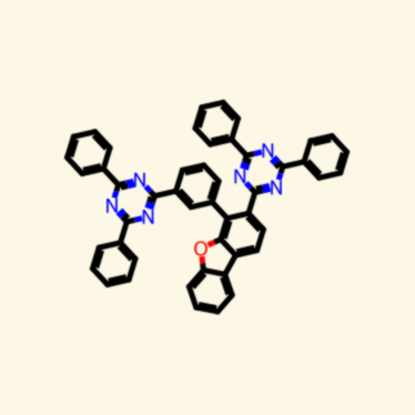 c1ccc(-c2nc(-c3ccccc3)nc(-c3cccc(-c4c(-c5nc(-c6ccccc6)nc(-c6ccccc6)n5)ccc5c4oc4ccccc45)c3)n2)cc1